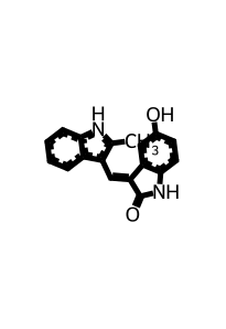 Cc1[nH]c2ccccc2c1C=C1C(=O)Nc2ccc(O)cc21